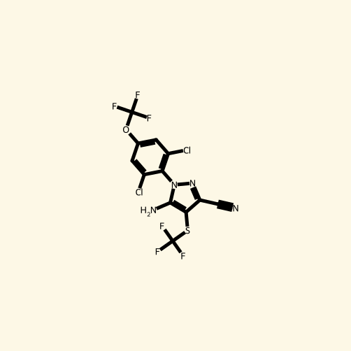 N#Cc1nn(-c2c(Cl)cc(OC(F)(F)F)cc2Cl)c(N)c1SC(F)(F)F